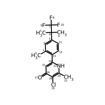 Cc1cc(C(C)(C)C(F)(F)F)ccc1-c1cc(=O)c(Cl)c(C)[nH]1